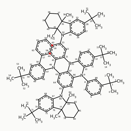 CC(C)(C)c1cccc(N2c3cc(C(C)(C)C)ccc3B3c4cc(N5c6ccc(C(C)(C)C)cc6C6(C)CCCCC56C)ccc4N(c4ccc(C(C)(C)C)cc4-c4ccccc4)c4cc(N5c6ccc(C(C)(C)C)cc6C6(C)CCCCC56C)cc2c43)c1